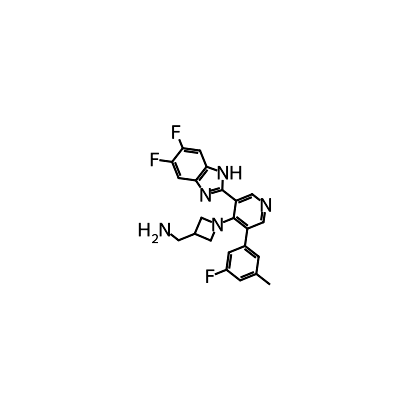 Cc1cc(F)cc(-c2cncc(-c3nc4cc(F)c(F)cc4[nH]3)c2N2CC(CN)C2)c1